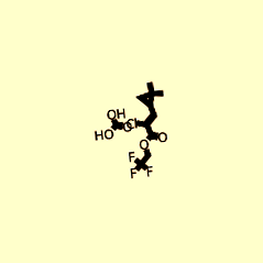 CC1(C)CC1C=C(Cl)C(=O)OCC(F)(F)F.O=C(O)O